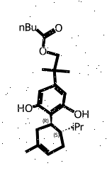 CCCCC(=O)OCC(C)(C)c1cc(O)c([C@@H]2CC(C)=CC[C@H]2C(C)C)c(O)c1